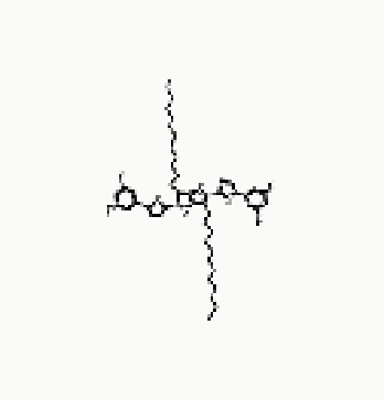 CCCCCCCCCCCCc1c(-c2ccc(-c3cc(F)cc(F)c3)s2)sc2c(CCCCCCCCCCCC)c(-c3ccc(-c4cc(F)cc(F)c4)s3)sc12